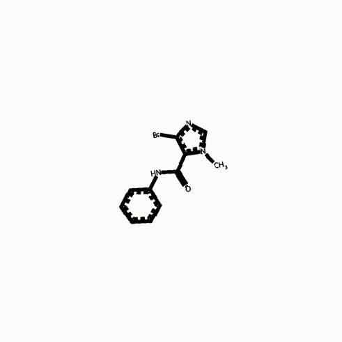 Cn1cnc(Br)c1C(=O)Nc1ccccc1